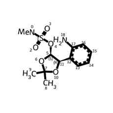 CNS(=O)(=O)O[C@@H]1OC(C)(C)O[C@@H]1c1ccccc1N